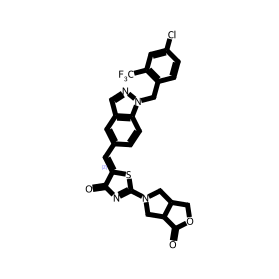 O=C1N=C(N2CC3COC(=O)C3C2)S/C1=C\c1ccc2c(cnn2Cc2ccc(Cl)cc2C(F)(F)F)c1